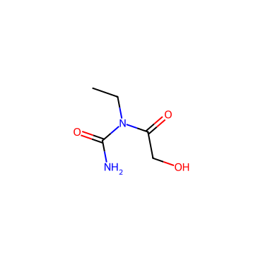 CCN(C(N)=O)C(=O)CO